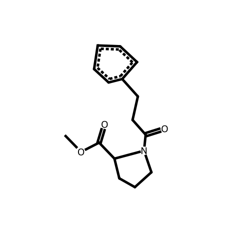 COC(=O)C1CCCN1C(=O)CCc1ccccc1